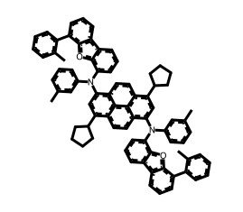 Cc1cccc(N(c2cc(C3CCCC3)c3ccc4c(N(c5cccc(C)c5)c5cccc6c5oc5c(-c7ccccc7C)cccc56)cc(C5CCCC5)c5ccc2c3c54)c2cccc3c2oc2c(-c4ccccc4C)cccc23)c1